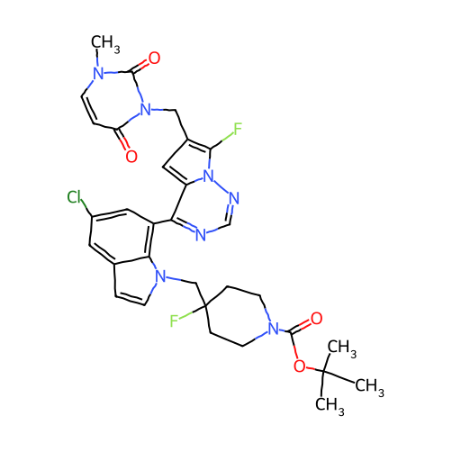 Cn1ccc(=O)n(Cc2cc3c(-c4cc(Cl)cc5ccn(CC6(F)CCN(C(=O)OC(C)(C)C)CC6)c45)ncnn3c2F)c1=O